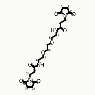 O=C(CCN1C(=O)C=CC1=O)NCCOCCOCCNC(=O)CCN1C(=O)C=CC1=O